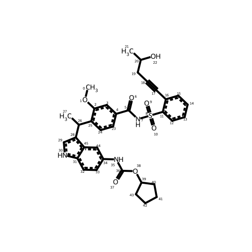 COc1cc(C(=O)NS(=O)(=O)c2ccccc2C#CCC(C)O)ccc1C(C)c1c[nH]c2ccc(NC(=O)OC3CCCC3)cc12